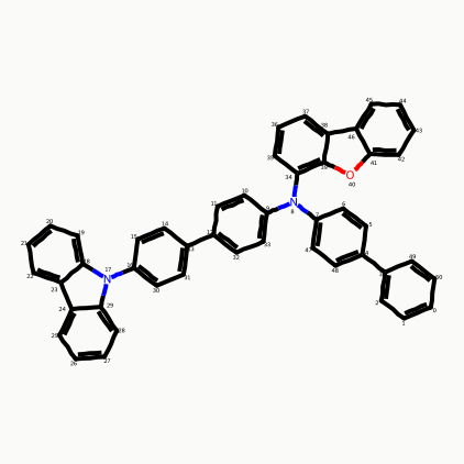 c1ccc(-c2ccc(N(c3ccc(-c4ccc(-n5c6ccccc6c6ccccc65)cc4)cc3)c3cccc4c3oc3ccccc34)cc2)cc1